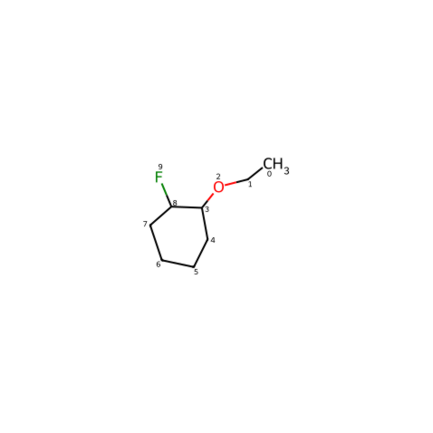 CCOC1CCCCC1F